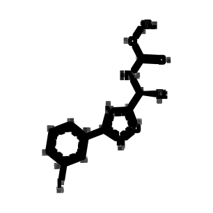 CC[C@H](NC(=O)OC(C)(C)C)c1nc(-c2cccc(F)c2)no1